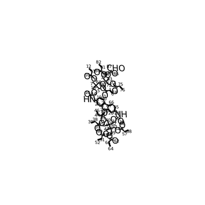 C=CC(=O)OCC(COC(=O)C=C)(COC(=O)Nc1ccc2c(c1)Cc1cc(NC(=O)OCC(COC(=O)C=C)(COC(=O)C=C)C(COC(=O)C=C)(COC(=O)C=C)COC(=O)C=C)ccc1-2)COC(COC(=O)C=C)(COC(=O)C=C)COC(=O)C=O